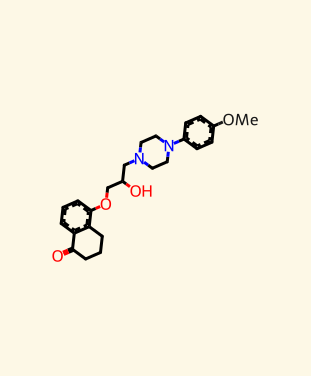 COc1ccc(N2CCN(CC(O)COc3cccc4c3CCCC4=O)CC2)cc1